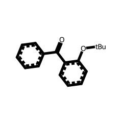 CC(C)(C)Oc1ccccc1C(=O)c1ccccc1